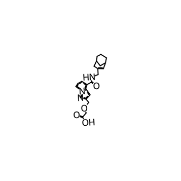 O=C(O)COCc1cc2c(C(=O)NCC3=CC4CCCC(C3)C4)cccn2n1